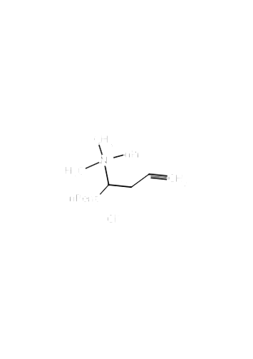 C=CCC(CCCCC)[N+](C)(C)CCC.[Cl-]